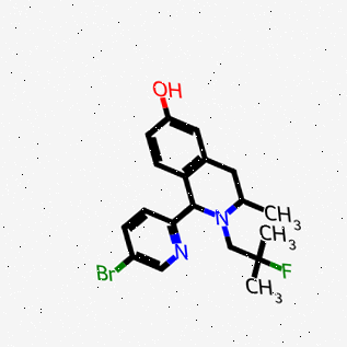 CC1Cc2cc(O)ccc2C(c2ccc(Br)cn2)N1CC(C)(C)F